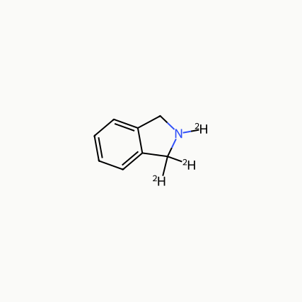 [2H]N1Cc2ccccc2C1([2H])[2H]